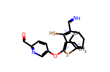 CC/C1=C\CC/C(C=N)=C(S)\C(CC)=C(/Oc2ccc(C=O)nc2)S1